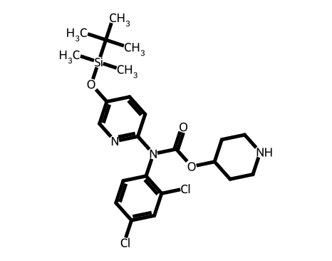 CC(C)(C)[Si](C)(C)Oc1ccc(N(C(=O)OC2CCNCC2)c2ccc(Cl)cc2Cl)nc1